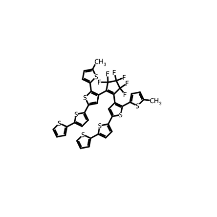 Cc1ccc(-c2sc(-c3ccc(-c4cccs4)s3)cc2C2=C(c3cc(-c4ccc(-c5cccs5)s4)sc3-c3ccc(C)s3)C(F)(F)C(F)(F)C2(F)F)s1